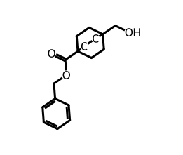 O=C(OCc1ccccc1)C12CCC(CO)(CC1)CC2